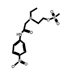 CCN(CCOS(C)(=O)=O)CC(=O)Nc1ccc([N+](=O)[O-])cc1